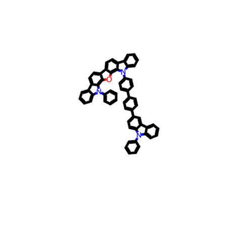 c1ccc(-n2c3ccccc3c3cc(-c4ccc(-c5ccc(-n6c7ccccc7c7ccc8c9ccc%10c%11ccccc%11n(-c%11ccccc%11)c%10c9oc8c76)cc5)cc4)ccc32)cc1